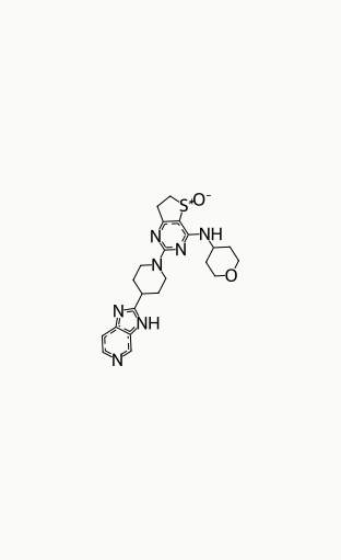 [O-][S+]1CCc2nc(N3CCC(c4nc5ccncc5[nH]4)CC3)nc(NC3CCOCC3)c21